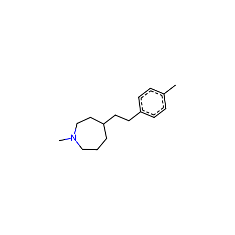 Cc1ccc(CCC2CCCN(C)CC2)cc1